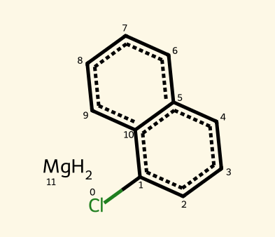 Clc1cccc2ccccc12.[MgH2]